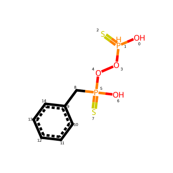 O[PH](=S)OOP(O)(=S)Cc1ccccc1